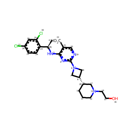 C[C@@H](Nc1nc(N2CC([C@H]3CCCN(CCO)C3)C2)ncc1C(=O)O)c1ccc(Cl)cc1Cl